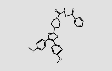 COc1ccc(-c2nc(C3CCN(C(=O)N(C)OC(=O)c4ccccc4)CC3)sc2-c2ccc(OC)cc2)cc1